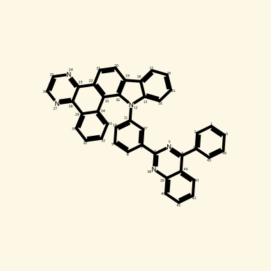 c1ccc(-c2nc(-c3cccc(-n4c5ccccc5c5ccc6c7nccnc7c7ccccc7c6c54)c3)nc3ccccc23)cc1